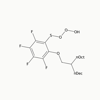 CCCCCCCCCCC(CCCCCCCC)COc1c(F)c(F)c(F)c(F)c1SOOO